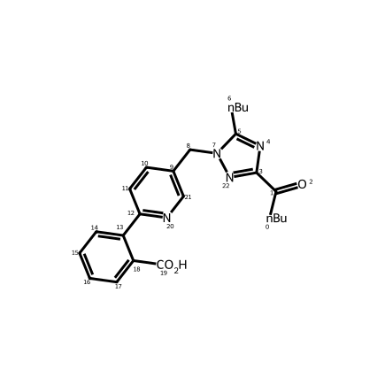 CCCCC(=O)c1nc(CCCC)n(Cc2ccc(-c3ccccc3C(=O)O)nc2)n1